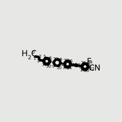 C=CCCc1ccc([C@H]2CC[C@H](c3ccc(C#Cc4ccc(C#N)c(F)c4)cc3)CC2)cc1